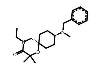 CCN1C[C@]2(CC[C@H](N(C)Cc3ccccc3)CC2)OC(C)(C)C1=O